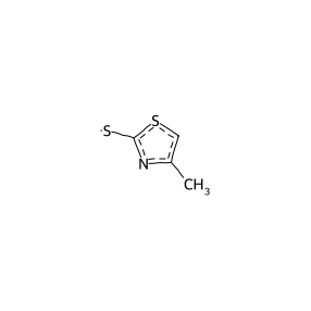 Cc1csc([S])n1